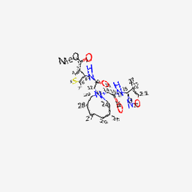 COC(=O)c1csc(C)c1NC(=O)C[N+]1(CC(=O)Nc2nocc2C)CCCCCC1